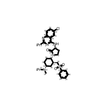 CC(C)c1nc(N[C@H]2CCN([C@H]3CC[C@@H](N(C)C(C)C)C[C@@H]3CS(=O)(=O)c3ccccc3)C2=O)c2cc(Cl)ccc2n1